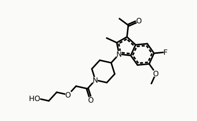 COc1cc2c(cc1F)c(C(C)=O)c(C)n2C1CCN(C(=O)COCCO)CC1